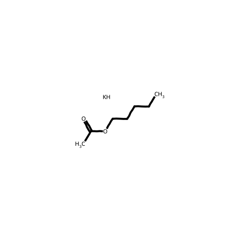 CCCCCOC(C)=O.[KH]